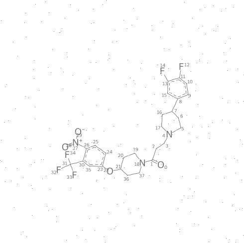 O=C(CCN1CCC(c2ccc(F)c(F)c2)CC1)N1CCC(Oc2ccc([N+](=O)[O-])c(C(F)(F)F)c2)CC1